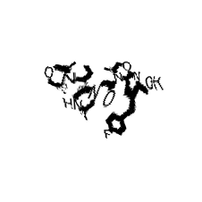 CCC([C@H]1CN[C@H](C)CN1CC(=O)N1c2cc(Cc3ccc(F)cc3)c(CO)nc2OC[C@@H]1C)N1[C@H](C)COC[C@H]1C